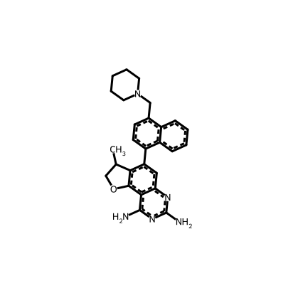 CC1COc2c1c(-c1ccc(CN3CCCCC3)c3ccccc13)cc1nc(N)nc(N)c21